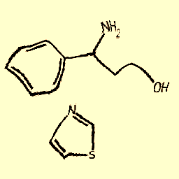 NC(CCO)c1ccccc1.c1cscn1